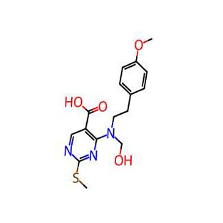 COc1ccc(CCN(CO)c2nc(SC)ncc2C(=O)O)cc1